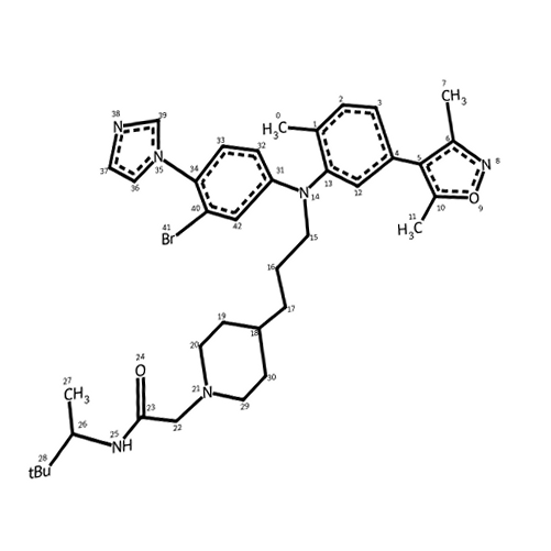 Cc1ccc(-c2c(C)noc2C)cc1N(CCCC1CCN(CC(=O)NC(C)C(C)(C)C)CC1)c1ccc(-n2ccnc2)c(Br)c1